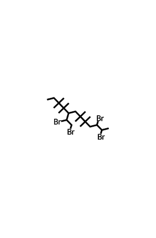 CCC(C)(C)C(C)(C)C(CC(C)(C)C(C)(C)CC(Br)C(C)Br)C(Br)CBr